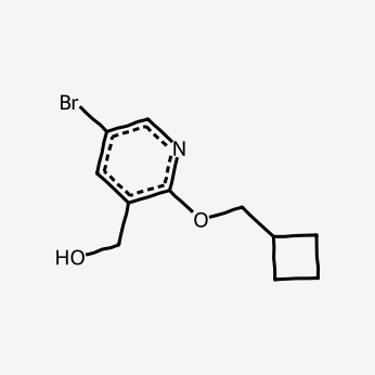 OCc1cc(Br)cnc1OCC1CCC1